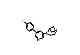 Fc1ccc(-c2cncc(N3CCN4CC3C4)c2)cc1